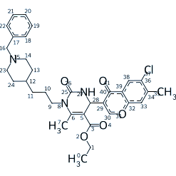 CCOC(=O)C1=C(C)N(CCCC2CCN(Cc3ccccc3)CC2)C(=O)NC1c1coc2cc(C)c(Cl)cc2c1=O